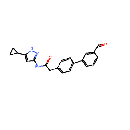 O=Cc1cccc(-c2ccc(CC(=O)Nc3cc(C4CC4)[nH]n3)cc2)c1